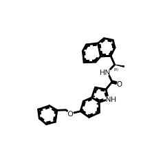 C[C@@H](NC(=O)c1cc2cc(OCc3ccccc3)ccc2[nH]1)c1cccc2ccccc12